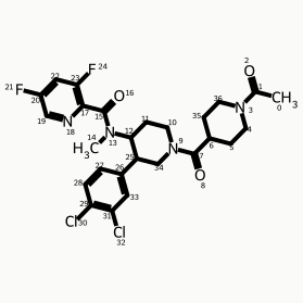 CC(=O)N1CCC(C(=O)N2CCC(N(C)C(=O)c3ncc(F)cc3F)C(c3ccc(Cl)c(Cl)c3)C2)CC1